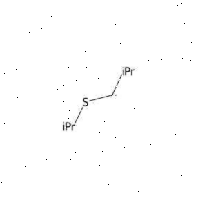 CC(C)[CH]SC(C)C